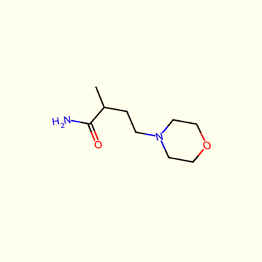 CC(CCN1CCOCC1)C(N)=O